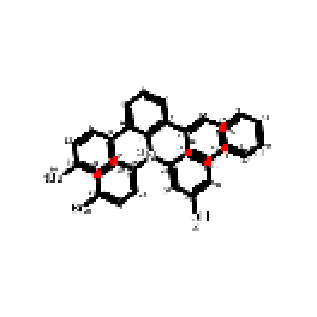 CC(C)(C)c1ccc(-c2cccc(-c3ccc(C(C)(C)C)cc3)c2N(c2ccc(Br)cc2)c2cc(O)cc(-c3ccccc3)c2)cc1